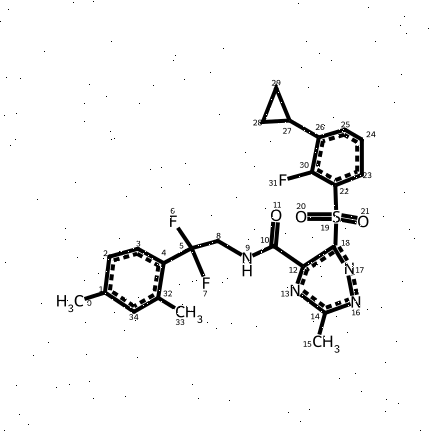 Cc1ccc(C(F)(F)CNC(=O)c2nc(C)nnc2S(=O)(=O)c2cccc(C3CC3)c2F)c(C)c1